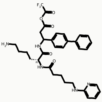 NCCCC[C@@H](NC(=O)CCCCNc1ccccn1)C(=O)NC(CC(=O)OC(=O)C(F)(F)F)c1ccc(-c2ccccc2)cc1